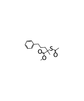 COC(=O)C(C)(CCCc1ccccc1)SC(C)=O